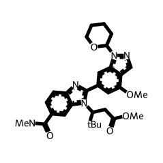 CNC(=O)c1ccc2nc(-c3cc(OC)c4cnn(C5CCCCO5)c4c3)n(C(CC(=O)OC)C(C)(C)C)c2c1